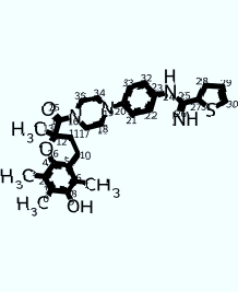 Cc1c(C)c2c(c(C)c1O)CCC(C)(C(=O)N1CCN(c3ccc(NC(=N)C4CC=CS4)cc3)CC1)O2